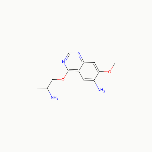 COc1cc2ncnc(OCC(C)N)c2cc1N